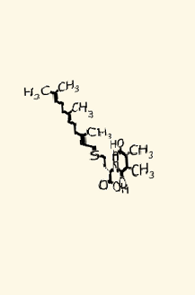 CC(C)=CCC/C(C)=C/CC/C(C)=C/CSCC[C@H](NC(=O)[C@H](C)[C@@H](C)C(=O)O)C(=O)O